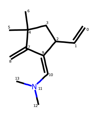 C=CC1CC(C)(C)C(=C)/C1=C\N(C)C